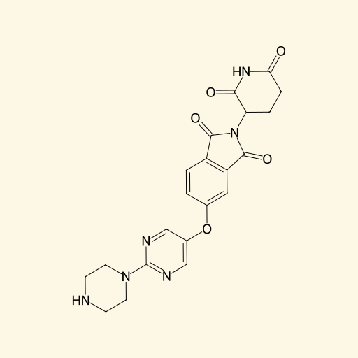 O=C1CCC(N2C(=O)c3ccc(Oc4cnc(N5CCNCC5)nc4)cc3C2=O)C(=O)N1